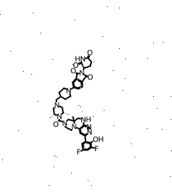 C[C@@H]1CN(CC2CCN(c3ccc4c(c3)C(=O)N(C3CCC(=O)NC3=O)C4=O)CC2)C[C@H](C)N1C(=O)N1CCN2c3cc(-c4cc(F)cc(F)c4O)nnc3NCC2(C)C1